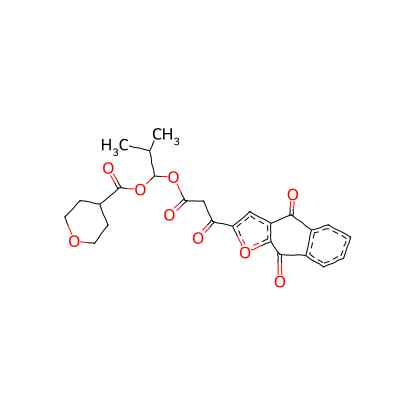 CC(C)C(OC(=O)CC(=O)c1cc2c(o1)C(=O)c1ccccc1C2=O)OC(=O)C1CCOCC1